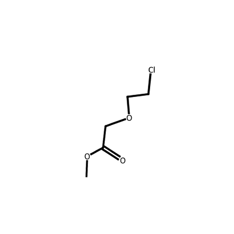 COC(=O)COCCCl